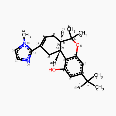 CCCC(C)(C)c1cc(O)c2c(c1)OC(C)(C)[C@@H]1CC=C(c3nccn3C)C[C@@H]21